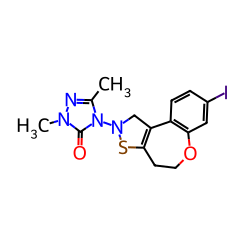 Cc1nn(C)c(=O)n1N1CC2=C(CCOc3cc(I)ccc32)S1